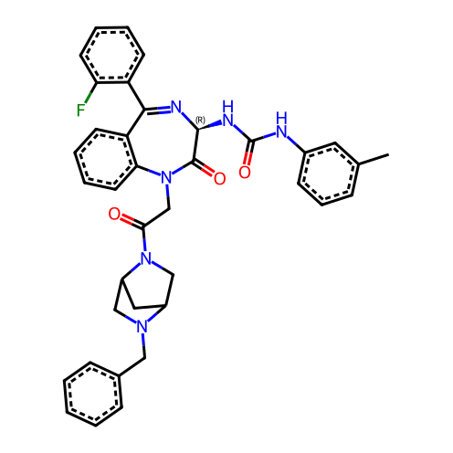 Cc1cccc(NC(=O)N[C@@H]2N=C(c3ccccc3F)c3ccccc3N(CC(=O)N3CC4CC3CN4Cc3ccccc3)C2=O)c1